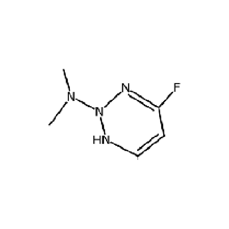 CN(C)N1N=C(F)C=[C]N1